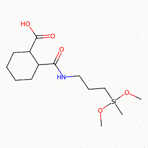 CO[Si](C)(CCCNC(=O)C1CCCCC1C(=O)O)OC